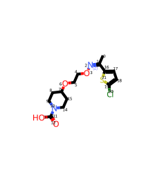 C/C(=N/OCCOC1CCN(C(=O)O)CC1)c1ccc(Cl)s1